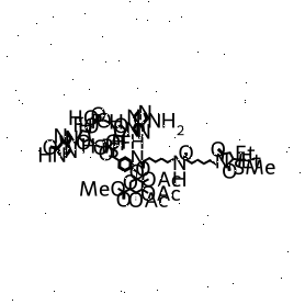 CCC(CC)(SC)C1CC(=O)N(CCCCCC(=O)NCCCCCC(=O)Nc2cc(CSP3(=O)OC[C@H]4O[C@@H](n5cnc6c(=O)[nH]cnc65)[C@H](F)[C@@H]4OP(=O)(O)OC[C@H]4O[C@@H](n5cnc6c(N)ncnc65)[C@H](F)[C@@H]4O3)ccc2O[C@@H]2OC(C(=O)OC)[C@@H](OC(C)=O)C(OC(C)=O)C2OC(C)=O)C1=O